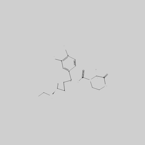 C[C@@H]1C(=O)NCCN1C(=O)N[C@@H](c1ccc(F)c(Cl)c1)[C@H]1C[C@H](OCC(F)(F)F)C1